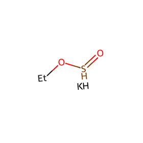 CCO[SH]=O.[KH]